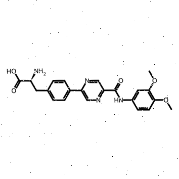 COc1ccc(NC(=O)c2cnc(-c3ccc(C[C@H](N)C(=O)O)cc3)cn2)cc1OC